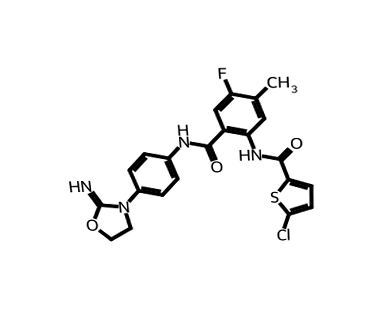 Cc1cc(NC(=O)c2ccc(Cl)s2)c(C(=O)Nc2ccc(N3CCOC3=N)cc2)cc1F